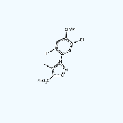 CCOC(=O)c1nnn(-c2cc(Cl)c(OC)cc2F)c1C